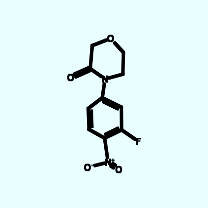 O=C1COCCN1c1ccc([N+](=O)[O-])c(F)c1